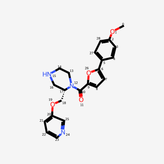 COc1ccc(-c2ccc(C(=O)N3CCNC[C@H]3COc3cccnc3)o2)cc1